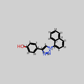 Oc1ccc(-c2cn(-c3cccc4ccccc34)nn2)cc1